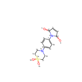 O=C1C=CC(=O)N1c1ccc(N2CCS(=O)(=O)CC2)cc1